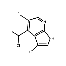 CC(Cl)c1c(F)cnc2[nH]cc(F)c12